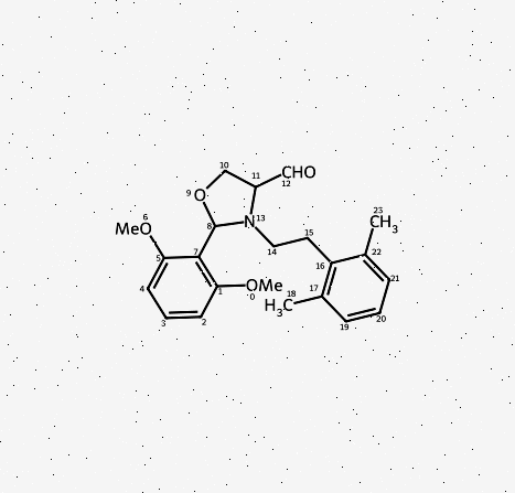 COc1cccc(OC)c1C1OCC(C=O)N1CCc1c(C)cccc1C